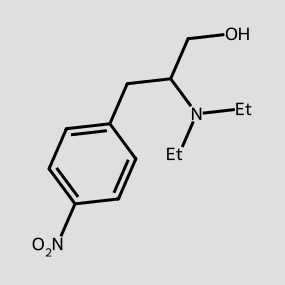 CCN(CC)C(CO)Cc1ccc([N+](=O)[O-])cc1